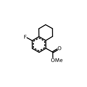 COC(=O)c1ccc(F)c2c1CCCC2